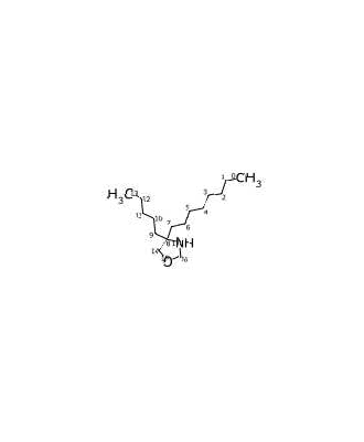 CCCCCCCCC1(CCCCC)COCN1